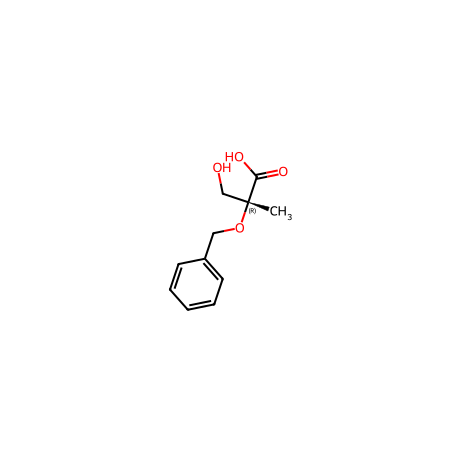 C[C@](CO)(OCc1ccccc1)C(=O)O